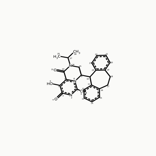 Cc1nc(=O)c(O)c2n1C(C1c3ccccc3CCc3ccccc31)CN(C(C)C)C2=O